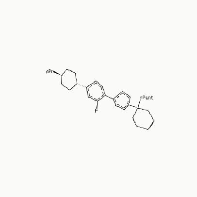 CCCCCC1(c2ccc(-c3ccc([C@H]4CC[C@H](CCC)CC4)cc3F)cc2)CCCCC1